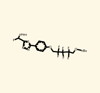 CCCCCCC(F)c1nnc(-c2ccc(OCC(F)(F)C(F)(F)C(F)(F)COCCCC)cc2)s1